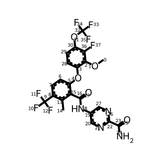 COc1c(Oc2ccc(C(F)(F)F)c(C)c2C(=O)Nc2cnc(C(N)=O)nc2)ccc(OC(F)(F)F)c1F